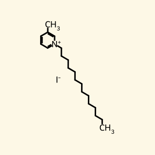 CCCCCCCCCCCCCC[n+]1cccc(C)c1.[I-]